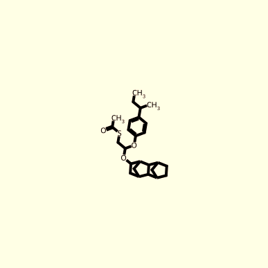 CCC(C)c1ccc(OC(CSC(C)=O)OC2CC3CC2C2C4CCC(C4)C32)cc1